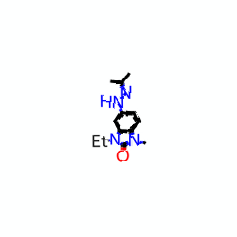 CCn1c(=O)n(C)c2ccc(NN=C(C)C)cc21